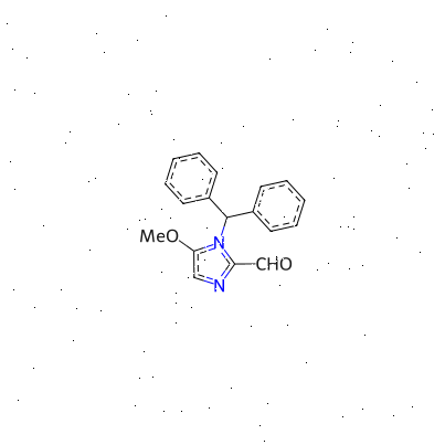 COc1cnc(C=O)n1C(c1ccccc1)c1ccccc1